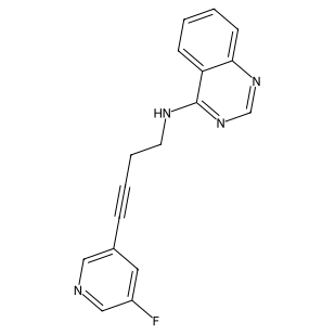 Fc1cncc(C#CCCNc2ncnc3ccccc23)c1